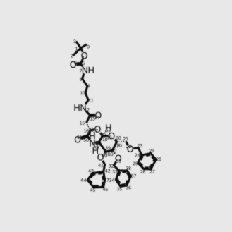 CC(C)(C)OC(=O)NCCCCNC(=O)C[C@@H]1O[C@H]2O[C@H](COCc3ccccc3)[C@H](OCc3ccccc3)[C@H](OCc3ccccc3)[C@H]2NC1=O